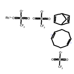 C1=CC2C=CC1C2.C1=C\CC/C=C\CC/1.O=S(=O)([O-])C(F)(F)F.O=S(=O)([O-])C(F)(F)F.O=S(=O)([O-])C(F)(F)F.[Rh+3]